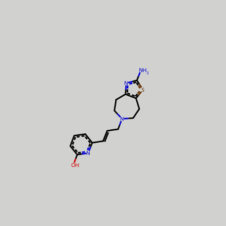 Nc1nc2c(s1)CCN(CC=Cc1cccc(O)n1)CC2